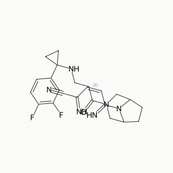 N#CC(=N)/C=C\C(=N)N1C2CCC1CN(C(=O)CCNC1(c3ccc(F)c(F)c3)CC1)C2